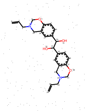 C=CCN1COc2ccc(C(O)C(O)c3ccc4c(c3)CN(CC=C)CO4)cc2C1